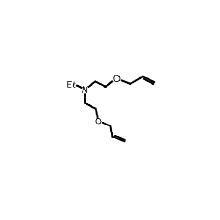 C=CCOCCN(CC)CCOCC=C